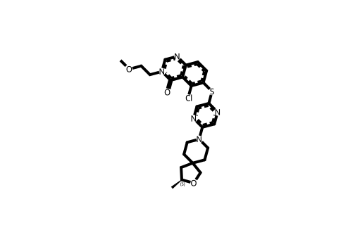 COCCn1cnc2ccc(Sc3cnc(N4CCC5(CC4)CO[C@@H](C)C5)cn3)c(Cl)c2c1=O